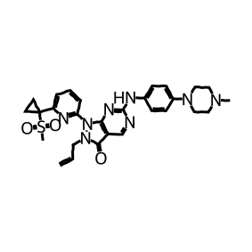 C=CCn1c(=O)c2cnc(Nc3ccc(N4CCN(C)CC4)cc3)nc2n1-c1cccc(C2(S(C)(=O)=O)CC2)n1